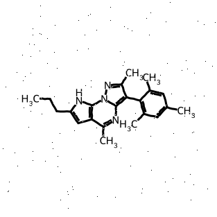 CCCc1cc2c(C)nc3c(-c4c(C)cc(C)cc4C)c(C)nn3c2[nH]1